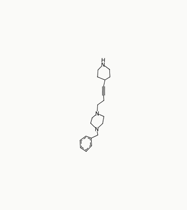 C(#CC1CCNCC1)CCN1CCN(Cc2ccccc2)CC1